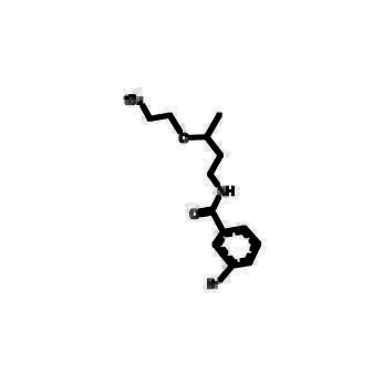 CC(CCNC(=O)c1cccc(Br)c1)OCCC(C)(C)C